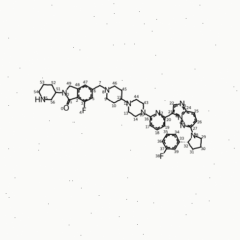 O=C1c2c(F)cc(CN3CCC(N4CCN(c5cccc(-c6cnc7ccc(N8CCC[C@@H]8c8cccc(F)c8)nn67)n5)CC4)CC3)cc2CN1C1CCCNC1